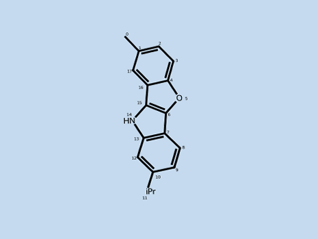 Cc1ccc2oc3c4ccc(C(C)C)cc4[nH]c3c2c1